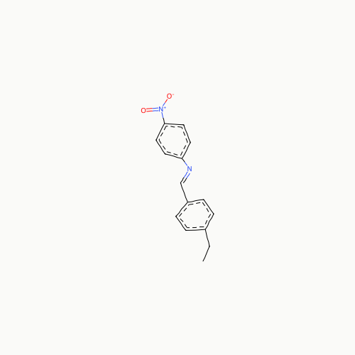 CCc1ccc(C=Nc2ccc([N+](=O)[O-])cc2)cc1